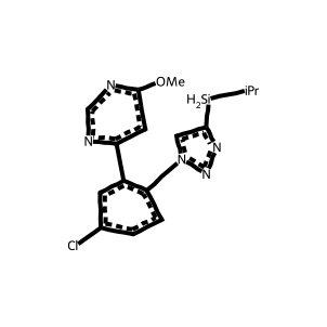 COc1cc(-c2cc(Cl)ccc2-n2cc([SiH2]C(C)C)nn2)ncn1